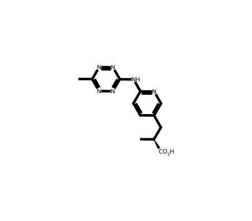 Cc1nnc(Nc2ccc(C[C@H](C)C(=O)O)cn2)nn1